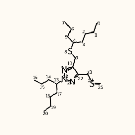 CCCCC(CCC)SCc1nn(C(CCC)CCCC)nc1CSC